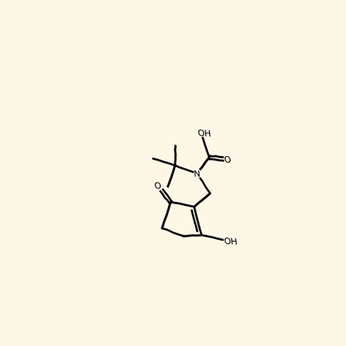 CC(C)(C)N(CC1=C(O)CCC1=O)C(=O)O